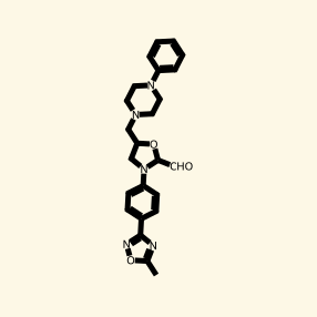 Cc1nc(-c2ccc(N3CC(CN4CCN(c5ccccc5)CC4)OC3C=O)cc2)no1